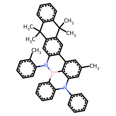 Cc1cc2c3c(c1)N(c1ccccc1)c1ccccc1B3N(c1ccccc1C)c1cc3c(cc1-2)C(C)(C)c1ccccc1C3(C)C